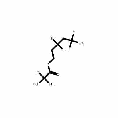 CCC(C)(C)C(=O)OCCC(F)(F)CC(C)(F)F